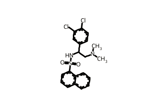 CN(C)CC(NS(=O)(=O)c1cccc2ccccc12)c1ccc(Cl)c(Cl)c1